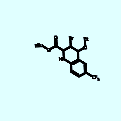 CCCCOC(=O)C1Nc2ccc(C(F)(F)F)cc2C(OCC)C1Br